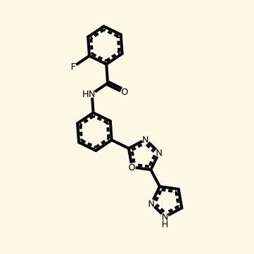 O=C(Nc1cccc(-c2nnc(-c3cc[nH]n3)o2)c1)c1ccccc1F